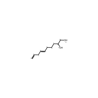 C=CCC=CCCCC(O)CO